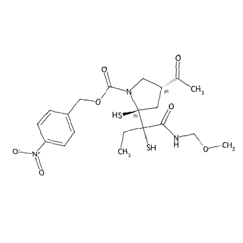 CCC(S)(C(=O)NCOC)[C@@]1(S)C[C@@H](C(C)=O)CN1C(=O)OCc1ccc([N+](=O)[O-])cc1